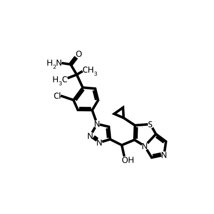 CC(C)(C(N)=O)c1ccc(-n2cc(C(O)c3c(C4CC4)sc4cncn34)nn2)cc1Cl